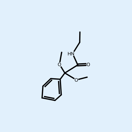 CCNC(=O)C(OC)(OC)c1ccccc1